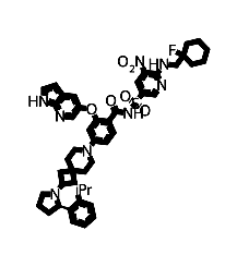 CC(C)c1ccccc1[C@H]1CCCN1C1CC2(CCN(c3ccc(C(=O)NS(=O)(=O)c4cnc(NCC5(F)CCCCC5)c([N+](=O)[O-])c4)c(Oc4cnc5[nH]ccc5c4)c3)CC2)C1